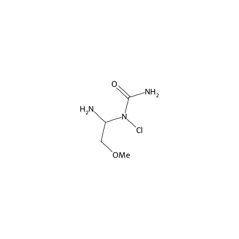 COCC(N)N(Cl)C(N)=O